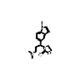 CN(C)CCC(c1ccc2[nH]ccc2c1)N1CCOC1=O